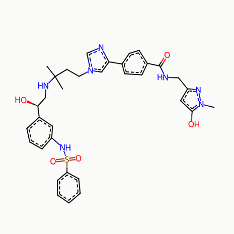 Cn1nc(CNC(=O)c2ccc(-c3cn(CCC(C)(C)NC[C@H](O)c4cccc(NS(=O)(=O)c5ccccc5)c4)cn3)cc2)cc1O